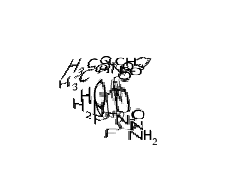 CC(C)OC(=O)[C@H](C)N[P@@](=O)(OC[C@H]1O[C@@H](n2cc(F)c(N)nc2=O)[C@@](N)(CF)C1O)Oc1ccccc1